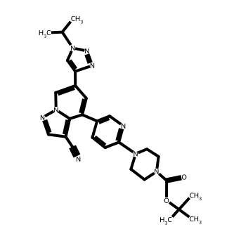 CC(C)n1cc(-c2cc(-c3ccc(N4CCN(C(=O)OC(C)(C)C)CC4)nc3)c3c(C#N)cnn3c2)nn1